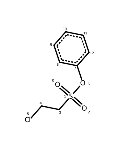 O=S(=O)(CCCl)Oc1ccccc1